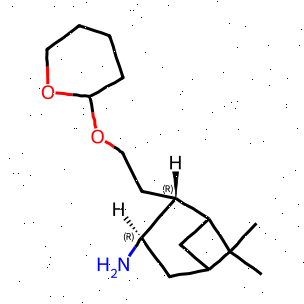 CC1(C)C2CC1[C@@H](CCOC1CCCCO1)[C@H](N)C2